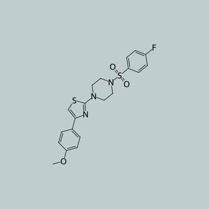 COc1ccc(-c2csc(N3CCN(S(=O)(=O)c4ccc(F)cc4)CC3)n2)cc1